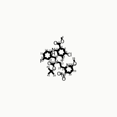 COC(=O)c1cc(Cl)c(F)cc1Nc1ccc(F)cc1CN(CCc1nc(OC)ccc1[N+](=O)[O-])C(=O)OC(C)(C)C